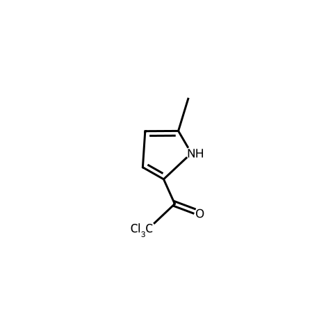 Cc1ccc(C(=O)C(Cl)(Cl)Cl)[nH]1